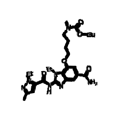 CCn1nc(C)cc1C(=O)Nc1nc2cc(C(N)=O)cc(OCCCCN(C)C(=O)OC(C)(C)C)c2n1CC